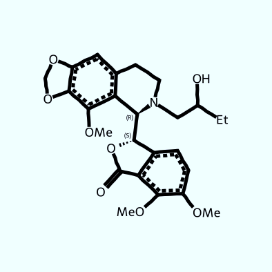 CCC(O)CN1CCc2cc3c(c(OC)c2[C@@H]1[C@H]1OC(=O)c2c1ccc(OC)c2OC)OCO3